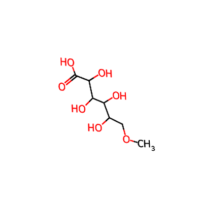 COCC(O)C(O)C(O)C(O)C(=O)O